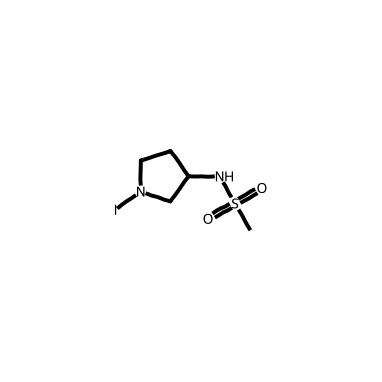 CS(=O)(=O)NC1CCN(I)C1